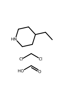 CCC1CCNCC1.ClCCl.O=CO